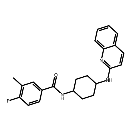 Cc1cc(C(=O)NC2CCC(Nc3ccc4ccccc4n3)CC2)ccc1F